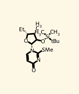 CC[C@H]1O[C@@H](n2ccc(=O)nc2SC)C(O[Si](C)(C)C(C)(C)C)[C@H]1C